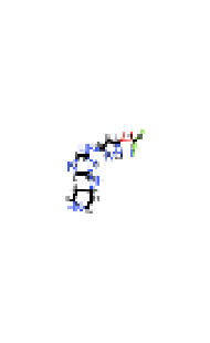 FC(F)Oc1cc(Nc2cncc(NC3CCNCC3)n2)n[nH]1